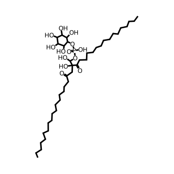 CCCCCCCCCCCCCCCCCC(=O)CC(O)(C(=O)CCCCCCCCCCCCCCC)C(O)OP(=O)(O)OC1C(O)C(O)C(O)C(O)C1O